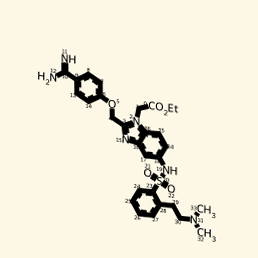 CCOC(=O)Cn1c(COc2ccc(C(=N)N)cc2)nc2cc(NS(=O)(=O)c3ccccc3CCN(C)C)ccc21